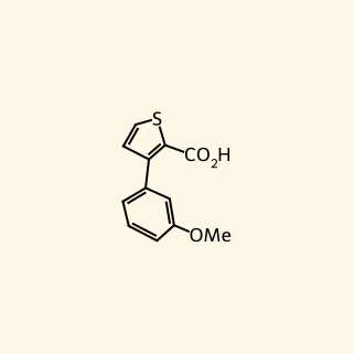 COc1cccc(-c2ccsc2C(=O)O)c1